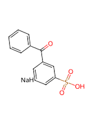 O=C(c1ccccc1)c1cccc(S(=O)(=O)O)c1.[NaH]